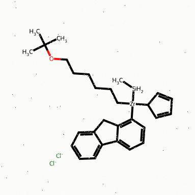 C[SiH2][Zr]([CH2]CCCCCOC(C)(C)C)([c]1cccc2c1Cc1ccccc1-2)[CH]1C=CC=C1.[Cl-].[Cl-]